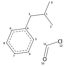 CC(C)Cc1ccccc1.O=CCl